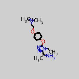 CCn1c(Oc2ccc(OCCN(C)C)cc2)nnc1[C@@H](C)N